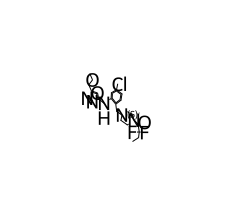 CCC(F)(F)C(=O)N1CCN(Cc2ccc(Cl)cc2Nc2nnc(COC)o2)C[C@@H]1C